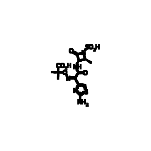 C[C@H]1[C@@H](NC(=O)/C(=N\OC(C)(C)C(=O)O)c2csc(N)n2)C(=O)N1S(=O)(=O)O